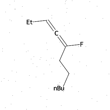 [CH2]CC=C=C(F)CCCCCC